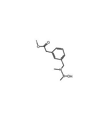 COC(=O)Cc1cccc(CN(C)B(C)O)c1